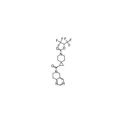 O=C(OC(C(F)(F)F)C(F)(F)F)N1CCC2(CC1)C[C@H]2C(=O)N1CCc2ncncc2C1